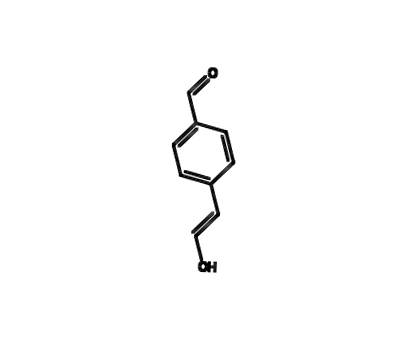 O=Cc1ccc(C=CO)cc1